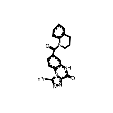 CCCc1nnc2c(=O)[nH]c3cc(C(=O)N4CCCc5ccccc54)ccc3n12